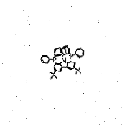 CCCCn1c2c(P(c3ccccc3)c3ccccc3)cc(C(C)(C)C)cc2c2cc(C(C)(C)C)cc(P(c3ccccc3)c3ccccc3)c21